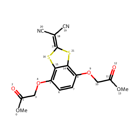 COC(=O)COc1ccc(OCC(=O)OC)c2c1SC(=C(C#N)C#N)S2